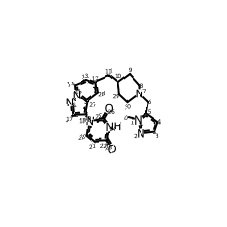 Cn1nccc1CN1CCC(Cc2ccn3ncc(-n4ccc(=O)[nH]c4=O)c3c2)CC1